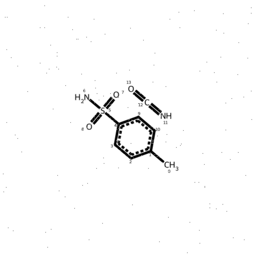 Cc1ccc(S(N)(=O)=O)cc1.N=C=O